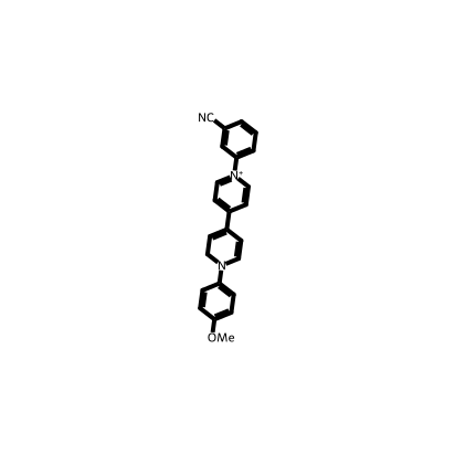 COc1ccc(N2C=CC(c3cc[n+](-c4cccc(C#N)c4)cc3)=CC2)cc1